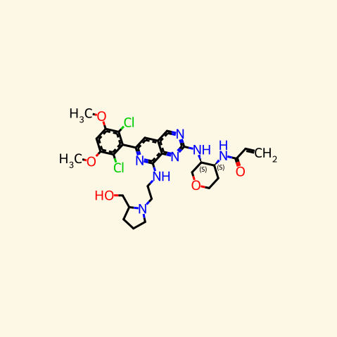 C=CC(=O)N[C@H]1CCOC[C@H]1Nc1ncc2cc(-c3c(Cl)c(OC)cc(OC)c3Cl)nc(NCCN3CCCC3CO)c2n1